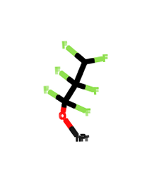 CCCOC(F)(F)C(F)(F)C(F)F